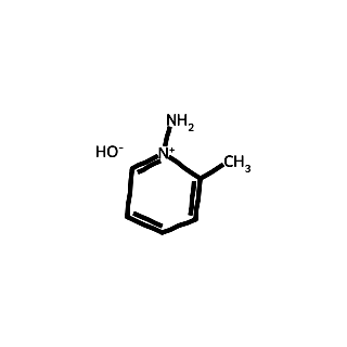 Cc1cccc[n+]1N.[OH-]